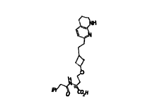 CC(C)CC(=O)N[C@@H](CCOC1CC(CCc2ccc3c(n2)NCCC3)C1)C(=O)O